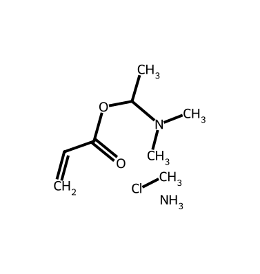 C=CC(=O)OC(C)N(C)C.CCl.N